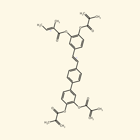 C=C(C)C(=O)Oc1ccc(-c2ccc(/C=C/c3ccc(OC(=O)C(=C)C)c(OC(=O)/C(C)=C/C)c3)cc2)cc1OC(=O)C(=C)C